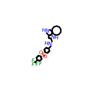 O=S(=O)(c1ccc(CNCc2cc3c([nH]2)C2(CCCCCCCCC2)CNC3)cc1)c1ccc(C(F)(F)F)c(F)c1